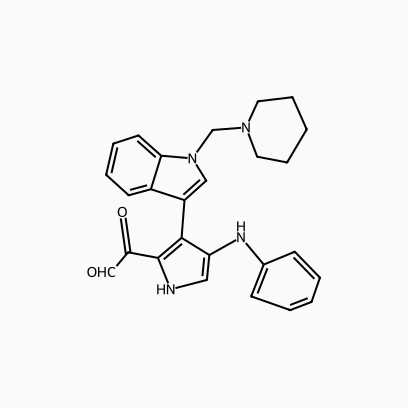 O=CC(=O)c1[nH]cc(Nc2ccccc2)c1-c1cn(CN2CCCCC2)c2ccccc12